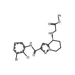 CC(C)OC(=O)CN[C@H]1CCCn2nc(C(=O)Nc3cccc(Br)c3Cl)cc21